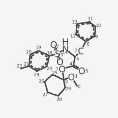 COC1(OC(=O)[C@H](Cc2ccccc2)NS(=O)(=O)c2ccc(C)cc2)CCCCC1